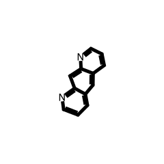 c1cnc2cc3ncccc3cc2c1